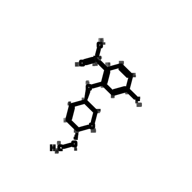 CO[C@@H]1C=C[C@@H](Oc2cc(F)ccc2[N+](=O)[O-])CO1